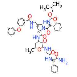 CCCC(NC(=O)[C@@H]1C[C@@H](CNC(=O)c2cccc(Oc3ccccc3)c2)CN1C(=O)[C@@H](NC(=O)OCC(C)C)C1CCCCC1)C(=O)C(=O)NCC(=O)N[C@H](C(N)=O)c1ccccc1